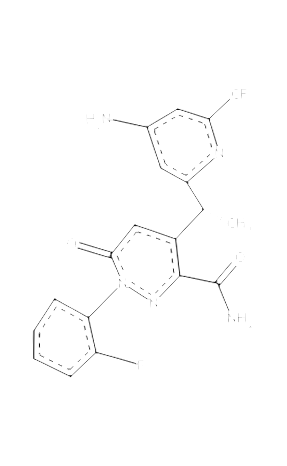 C[C@@H](c1cc(N)cc(C(F)(F)F)n1)c1cc(=O)n(-c2ccccc2F)nc1C(N)=O